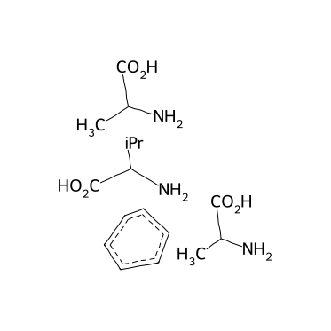 CC(C)C(N)C(=O)O.CC(N)C(=O)O.CC(N)C(=O)O.c1ccccc1